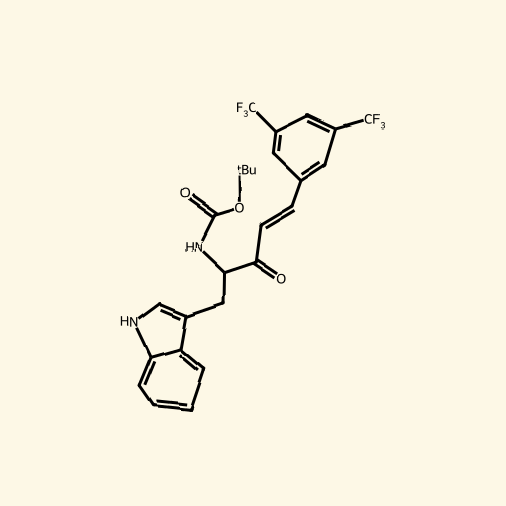 CC(C)(C)OC(=O)NC(Cc1c[nH]c2ccccc12)C(=O)C=Cc1cc(C(F)(F)F)cc(C(F)(F)F)c1